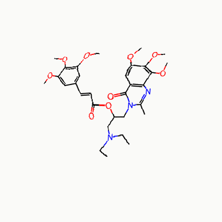 CCN(CC)CC(Cn1c(C)nc2c(OC)c(OC)c(OC)cc2c1=O)OC(=O)C=Cc1cc(OC)c(OC)c(OC)c1